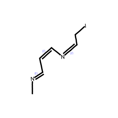 C/N=C/C=C\N=C/CI